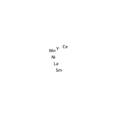 [Ce].[La].[Mn].[Ni].[Sm].[Y]